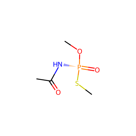 CO[P@](=O)(NC(C)=O)SC